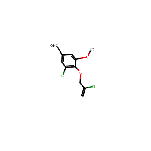 C=C(Cl)COc1c(Br)cc(C=O)cc1OCC